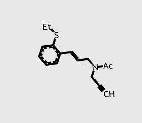 C#CCN(C/C=C/c1ccccc1SCC)C(C)=O